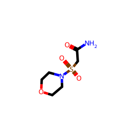 NC(=O)CS(=O)(=O)N1CCOCC1